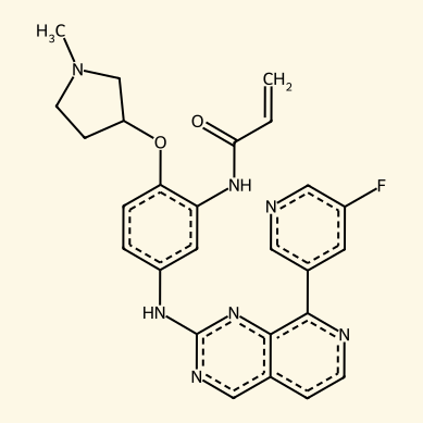 C=CC(=O)Nc1cc(Nc2ncc3ccnc(-c4cncc(F)c4)c3n2)ccc1OC1CCN(C)C1